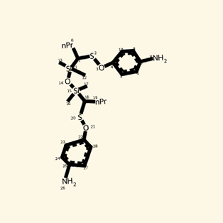 CCCC(SOc1ccc(N)cc1)[Si](C)(C)O[Si](C)(C)C(CCC)SOc1ccc(N)cc1